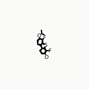 COc1ccc2c(sc3c(F)c(OC(C)C)ccc32)c1F